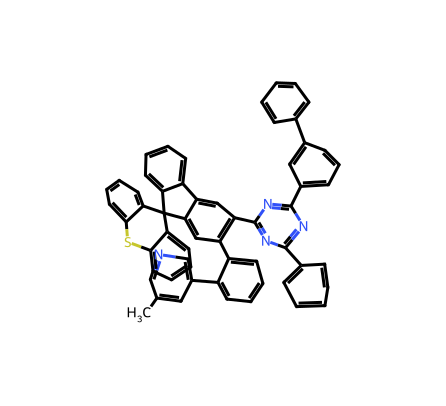 Cc1cncc(-c2ccccc2-c2cc3c(cc2-c2nc(-c4ccccc4)nc(-c4cccc(-c5ccccc5)c4)n2)-c2ccccc2C32c3ccccc3Sc3ccccc32)c1